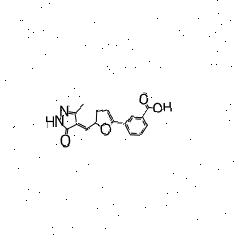 CC1=NNC(=O)/C1=C/C1CC=C(c2cccc(C(=O)O)c2)O1